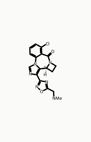 CNCc1nc(-c2ncn3c2[C@@H]2CCN2C(=O)c2c(Cl)cccc2-3)no1